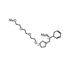 CN[C@H](CN1CC[C@H](OCCOCCOCCOC)C1)C1C=CC=CC1